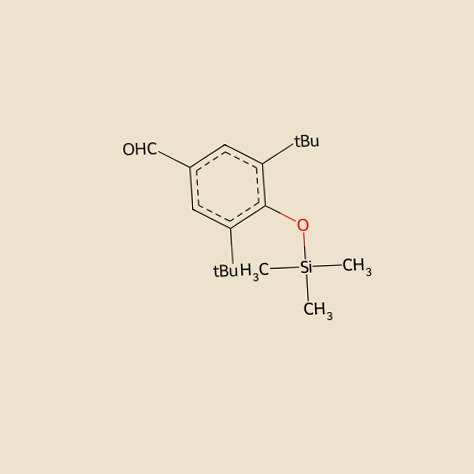 CC(C)(C)c1cc(C=O)cc(C(C)(C)C)c1O[Si](C)(C)C